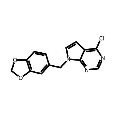 Clc1ncnc2c1ccn2Cc1ccc2c(c1)OCO2